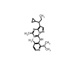 CCC(c1cnn2c(Nc3c(C)ccnc3N(C)C)nc(C)nc12)C1CC1